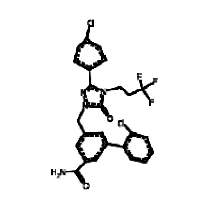 NC(=O)c1cc(Cn2nc(-c3ccc(Cl)cc3)n(CCC(F)(F)F)c2=O)cc(-c2ccccc2Cl)c1